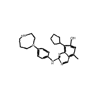 Cc1cc(O)c(C2CCCC2)c2nc(Nc3ccc(N4CCCNCC4)cc3)ncc12